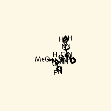 COCCN1C[C@@H](NC(=O)Nc2c(C)c(-c3cnc(N4C[C@H]5C[C@@H](C4)N5)nc3)nn2-c2ccccc2)[C@H](c2ccnc(F)c2)O1